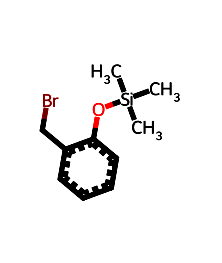 C[Si](C)(C)Oc1ccccc1CBr